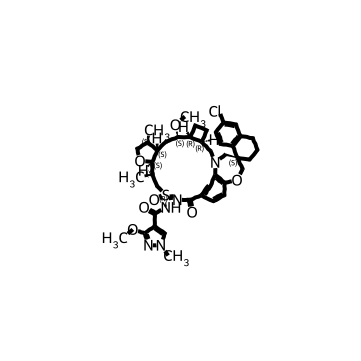 COc1nn(C)cc1C(=O)N[S@@]1(=O)=NC(=O)c2ccc3c(c2)N(C[C@@H]2CC[C@H]2[C@@H](OC)C[C@@H]2[C@H](OC[C@H]2C)[C@H](C)C1)C[C@@]1(CCCc2cc(Cl)ccc21)CO3